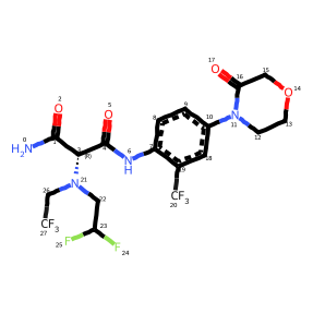 NC(=O)[C@H](C(=O)Nc1ccc(N2CCOCC2=O)cc1C(F)(F)F)N(CC(F)F)CC(F)(F)F